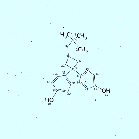 CC(C)(C)CC1CC(c2ccc(O)cc2)(c2ccc(O)cc2)C1